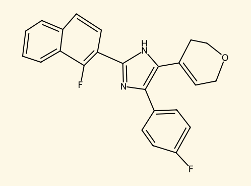 Fc1ccc(-c2nc(-c3ccc4ccccc4c3F)[nH]c2C2=CCOCC2)cc1